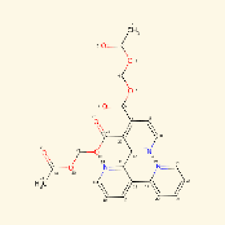 CC(=O)OCOC(=O)c1ccnc(-c2ncccc2-c2ccccn2)c1C(=O)OCOC(C)=O